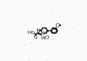 COc1cccc(C2CCc3nc(C(=O)O)cn3C2)c1.Cl